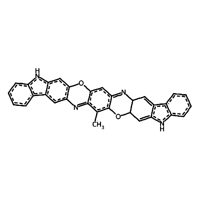 Cc1c2c(cc3c1=Nc1cc4c(cc1O3)[nH]c1ccccc14)=NC1C=c3c([nH]c4ccccc34)=CC1O2